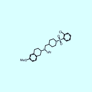 CCCN(CC1CCN(S(=O)(=O)c2ccccc2Cl)CC1)C1CCc2cc(OC)ccc2C1